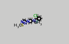 CSc1nccc(N2CCC(N(C)Cc3c(F)cccc3Cl)CC2)n1